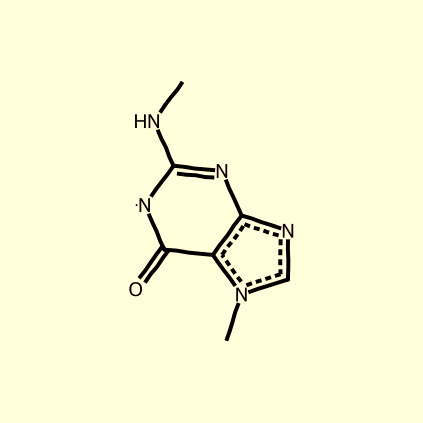 CNC1=Nc2ncn(C)c2C(=O)[N]1